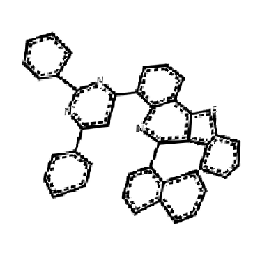 c1ccc(-c2cc(-c3cccc4c3nc(-c3cccc5ccccc35)c3c5ccccc5sc43)nc(-c3ccccc3)n2)cc1